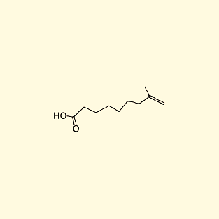 C=C(C)CCCCCCC(=O)O